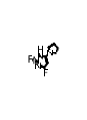 FC1=NN(F)NC(N2CCCC2)=C1